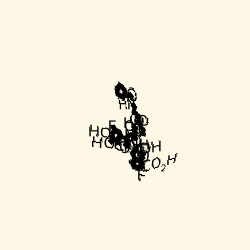 O=C(NCCCS(=O)(=O)N1CCN(C(=O)NC(C(=O)N[C@H]2Cc3ccc(F)c(C(=O)O)c3OB2O)c2cc(F)c(O)c(O)c2Cl)C1=O)c1ccccc1